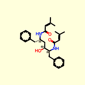 CC(C)=CC(=O)N[C@@H](Cc1ccccc1)C[C@H](O)[C@H](Cc1ccccc1)NC(=O)C=C(C)C